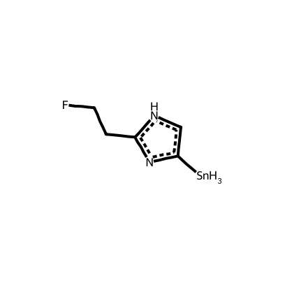 FCCc1n[c]([SnH3])c[nH]1